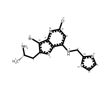 C[C@H](N)Cc1sc2c(NCc3nccs3)cc(Cl)nc2c1Br